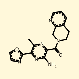 Cc1nc(C(=O)N2CCc3cccnc3C2)c(N)nc1-c1ncco1